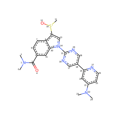 CN(C)C(=O)c1ccc2c([S+](C)[O-])cn(-c3ncc(-c4cc(N(C)C)ccn4)cn3)c2c1